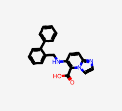 O=C(O)c1c(NCc2ccccc2-c2ccccc2)ccc2nccn12